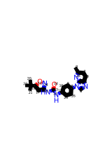 Cc1ccc2ncn(-c3ccc(NC(=O)Nc4cc(C(C)(C)C)on4)cc3)c2n1